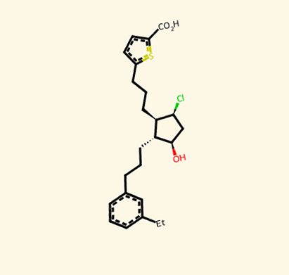 CCc1cccc(CCC[C@@H]2[C@@H](CCCc3ccc(C(=O)O)s3)[C@@H](Cl)C[C@H]2O)c1